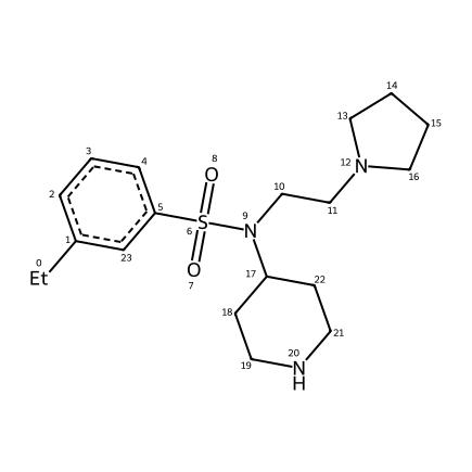 CCc1cccc(S(=O)(=O)N(CCN2CCCC2)C2CCNCC2)c1